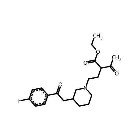 CCOC(=O)C(CCN1CCCC(CC(=O)c2ccc(F)cc2)C1)C(C)=O